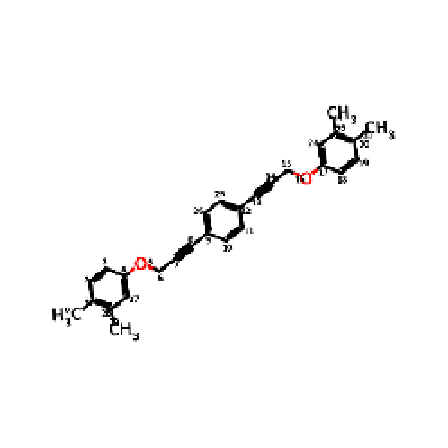 Cc1ccc(OCC#Cc2ccc(C#CCOc3ccc(C)c(C)c3)cc2)cc1C